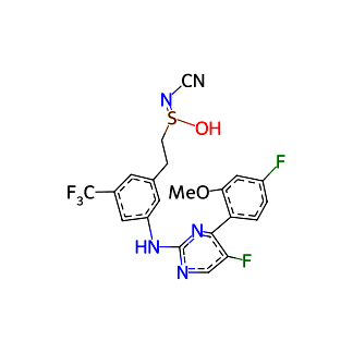 COc1cc(F)ccc1-c1nc(Nc2cc(CC/S(O)=N/C#N)cc(C(F)(F)F)c2)ncc1F